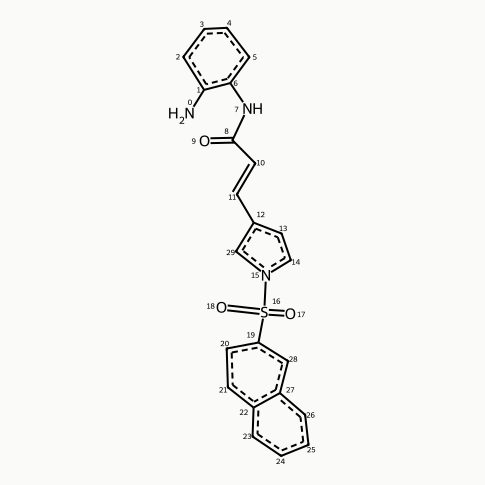 Nc1ccccc1NC(=O)C=Cc1ccn(S(=O)(=O)c2ccc3ccccc3c2)c1